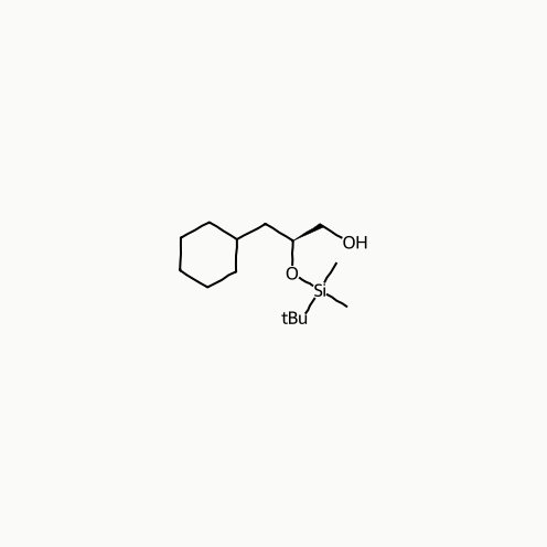 CC(C)(C)[Si](C)(C)O[C@H](CO)CC1CCCCC1